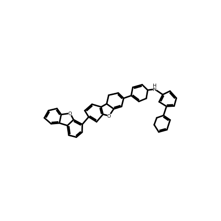 C1=CCCC(c2cccc(NC3C=CC(C4=CCC5C(=C4)Oc4cc(-c6cccc7c6oc6ccccc67)ccc45)=CC3)c2)=C1